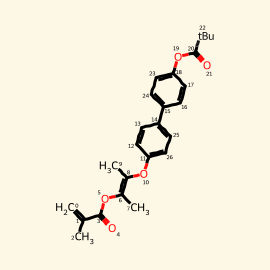 C=C(C)C(=O)O/C(C)=C(\C)Oc1ccc(-c2ccc(OC(=O)C(C)(C)C)cc2)cc1